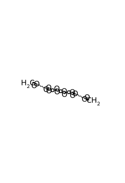 C=CC(=O)OCCCCCCOC(=O)Oc1ccc(C(=O)Oc2ccc(OC(=O)c3ccc(OC(=O)OCCCCCCOC(=O)C=C)cc3)cc2)cc1